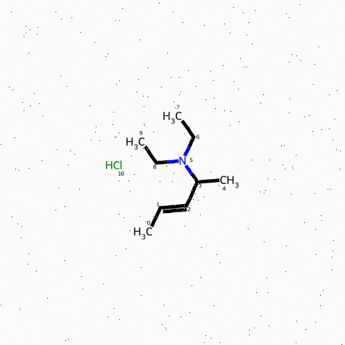 CC=CC(C)N(CC)CC.Cl